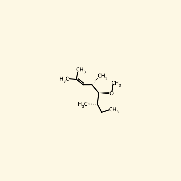 CC[C@H](C)[C@H](OC)[C@@H](C)C=C(C)C